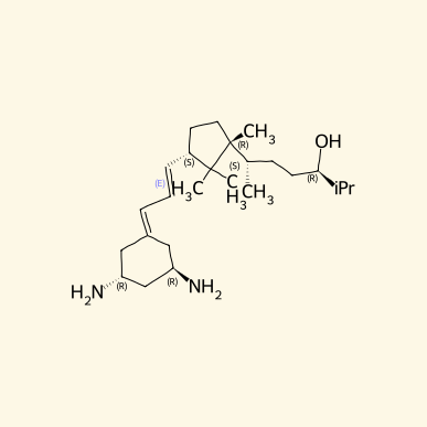 CC(C)[C@H](O)CC[C@H](C)[C@@]1(C)CC[C@@H](/C=C/C=C2C[C@@H](N)C[C@H](N)C2)C1(C)C